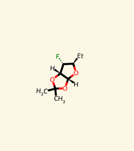 CC[C@H]1O[C@@H]2OC(C)(C)O[C@@H]2[C@@H]1F